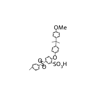 COc1ccc(C(C)(C)c2ccc(Oc3ccc(S(=O)(=O)c4ccc(C)cc4)cc3S(=O)(=O)O)cc2)cc1